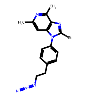 CCc1nc2c(C)nc(C)cc2n1-c1ccc(CCN=[N+]=[N-])cc1